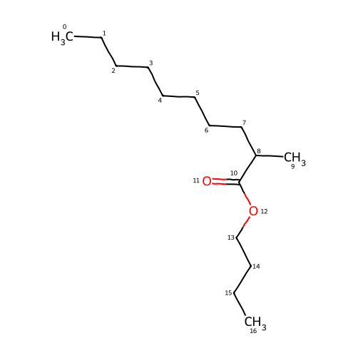 CCCCCCCCC(C)C(=O)OCCCC